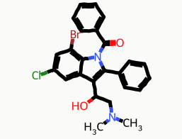 CN(C)CC(O)c1c(-c2ccccc2)n(C(=O)c2ccccc2)c2c(Br)cc(Cl)cc12